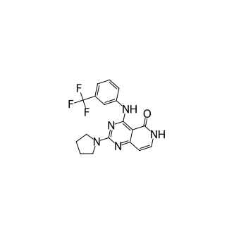 O=c1[nH]ccc2nc(N3CCCC3)nc(Nc3cccc(C(F)(F)F)c3)c12